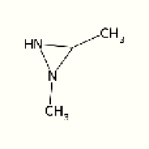 CC1NN1C